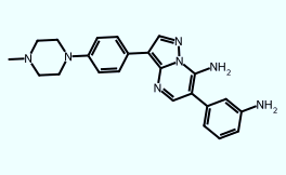 CN1CCN(c2ccc(-c3cnn4c(N)c(-c5cccc(N)c5)cnc34)cc2)CC1